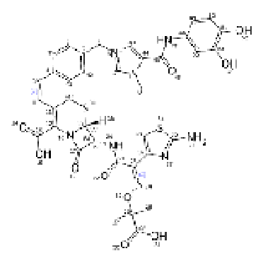 Cn1c[n+](Cc2ccc(/C=C\C3=C(C(=O)O)N4C(=O)[C@@H](NC(=O)/C(=N\OC(C)(C)C(=O)O)c5csc(N)n5)[C@H]4SC3)cc2)cc1C(=O)Nc1ccc(O)c(O)c1